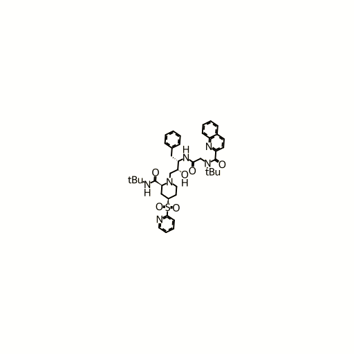 CC(C)(C)NC(=O)[C@@H]1C[C@H](S(=O)(=O)c2ccccn2)CCN1C[C@@H](O)[C@H](Cc1ccccc1)NC(=O)CN(C(=O)c1ccc2ccccc2n1)C(C)(C)C